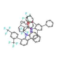 CC1C=CC(n2c3c(-c4ccc(C(F)(F)F)cc4C(F)(F)F)cccc3c3cccc(-c4ccc(C(F)(F)F)cc4C(F)(F)F)c32)=C1C(=O)Nc1c(-c2ccccc2)cc(-c2ccccc2)cc1-c1ccccc1